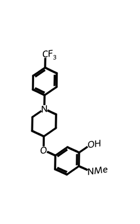 CNc1ccc(OC2CCN(c3ccc(C(F)(F)F)cc3)CC2)cc1O